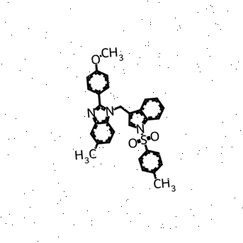 COc1ccc(-c2nc3cc(C)ccc3n2Cc2cn(S(=O)(=O)c3ccc(C)cc3)c3ccccc23)cc1